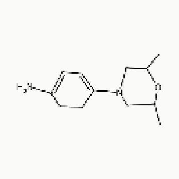 CC1CN(C2=CC=C(N)CC2)CC(C)O1